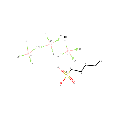 CCCCCS(=O)(=O)O.F[B-](F)(F)F.F[B-](F)(F)F.F[B-](F)(F)F.[LiH]